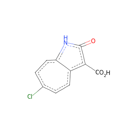 O=C(O)c1c2ccc(Cl)ccc-2[nH]c1=O